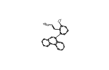 CCCCC=Cc1c(Cl)cccc1-c1cc2ccccc2c2ccccc12